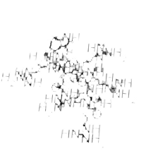 N=C(N)NCCC[C@H](NC(=O)[C@H](CCCNC(=N)N)NC(=O)[C@H](CCCNC(=N)N)NC(=O)[C@H](CCCNC(=N)N)NC(=O)[C@H](CCC(N)=O)NC(=O)[C@H](Cc1c[nH]c2ccccc12)NC(=O)[C@@H](N)CCCNC(=N)N)C(=O)O